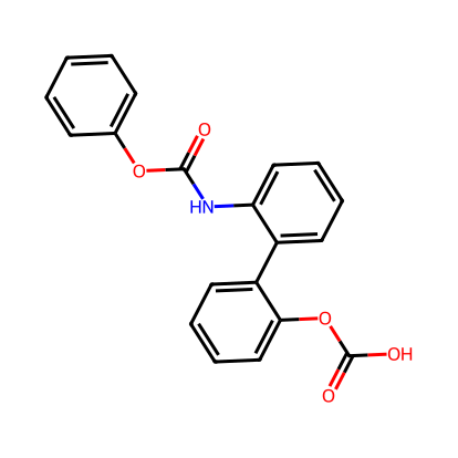 O=C(O)Oc1ccccc1-c1ccccc1NC(=O)Oc1ccccc1